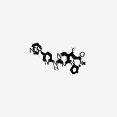 CN(C)C(=O)c1c(F)c2cnc(Nc3ccc(N4CCN5CCC4CC5)cn3)nc2n1C1CCCC1